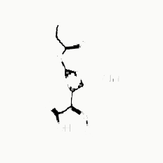 CON=C(C(=O)O)c1csc(NC(=O)CCl)n1.Cl.Cl